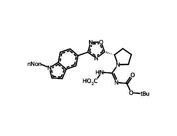 CCCCCCCCCn1ccc2cc(-c3noc([C@@H]4CCCN4/C(=N\C(=O)OC(C)(C)C)NC(=O)O)n3)ccc21